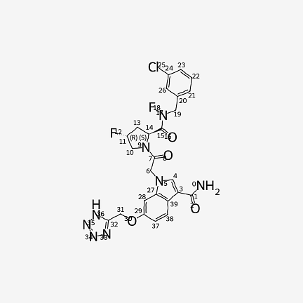 NC(=O)c1cn(CC(=O)N2C[C@H](F)C[C@H]2C(=O)N(F)Cc2cccc(Cl)c2)c2cc(OCc3nnn[nH]3)ccc12